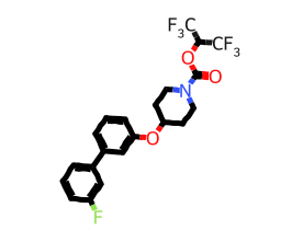 O=C(OC(C(F)(F)F)C(F)(F)F)N1CCC(Oc2cccc(-c3cccc(F)c3)c2)CC1